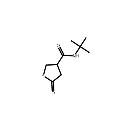 CC(C)(C)NC(=O)C1CSC(=O)C1